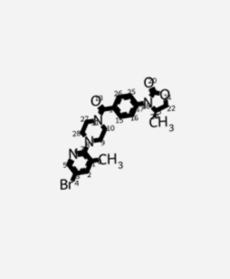 Cc1cc(Br)cnc1N1CCN(C(=O)c2ccc(N3C(=O)OC[C@H]3C)cc2)CC1